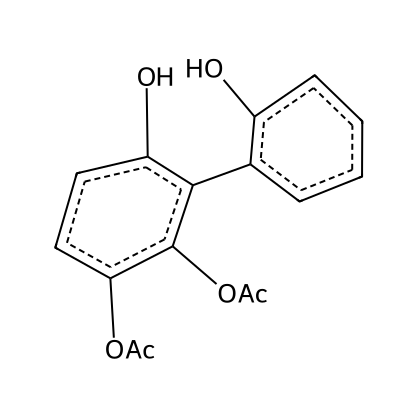 CC(=O)Oc1ccc(O)c(-c2ccccc2O)c1OC(C)=O